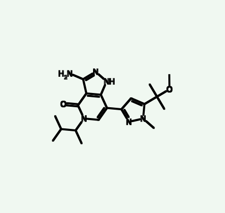 COC(C)(C)c1cc(-c2cn(C(C)C(C)C)c(=O)c3c(N)n[nH]c23)nn1C